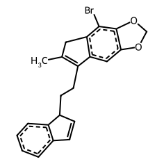 CC1=C(CCC2C=Cc3ccccc32)c2cc3c(c(Br)c2C1)OCO3